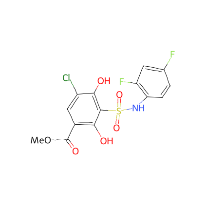 COC(=O)c1cc(Cl)c(O)c(S(=O)(=O)Nc2ccc(F)cc2F)c1O